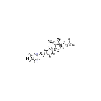 C=C/C=C(\C=C/N)SCc1ccc(-c2ccn(CCC(C)C)c(=O)c2C#N)cc1